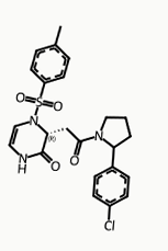 Cc1ccc(S(=O)(=O)N2C=CNC(=O)[C@H]2CC(=O)N2CCCC2c2ccc(Cl)cc2)cc1